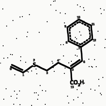 C=CSCCC(=Cc1ccccc1)C(=O)O